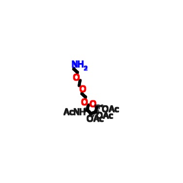 CC(=O)N[C@H]1C(OCCOCCOCCN)O[C@H](COC(C)=O)[C@H](OC(C)=O)[C@@H]1OC(C)=O